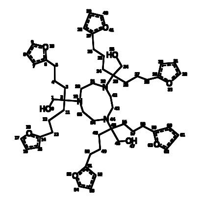 OCC(CCCc1ccco1)(CCCc1ccco1)N1CCN(C(CO)(CCCc2ccco2)CCCc2ccco2)CCN(C(CO)(CCCc2ccco2)CCCc2ccco2)CC1